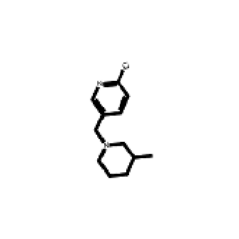 CC1CCCN(Cc2ccc(Cl)nc2)C1